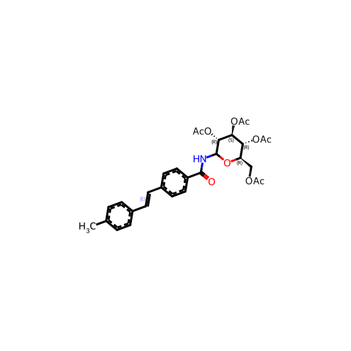 CC(=O)OC[C@H]1OC(NC(=O)c2ccc(/C=C/c3ccc(C)cc3)cc2)[C@H](OC(C)=O)[C@@H](OC(C)=O)[C@@H]1OC(C)=O